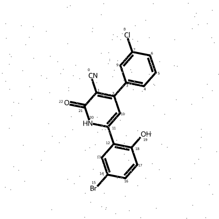 N#Cc1c(-c2cccc(Cl)c2)cc(-c2cc(Br)ccc2O)[nH]c1=O